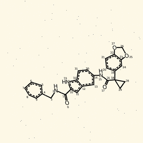 O=C(NCc1ccccc1)c1cc2cc(NC(=O)C3(c4ccc5c(c4)OCO5)CC3)ccc2[nH]1